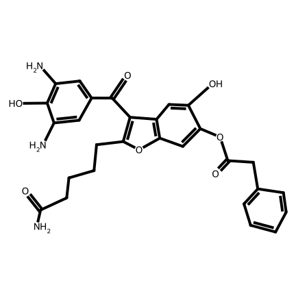 NC(=O)CCCCc1oc2cc(OC(=O)Cc3ccccc3)c(O)cc2c1C(=O)c1cc(N)c(O)c(N)c1